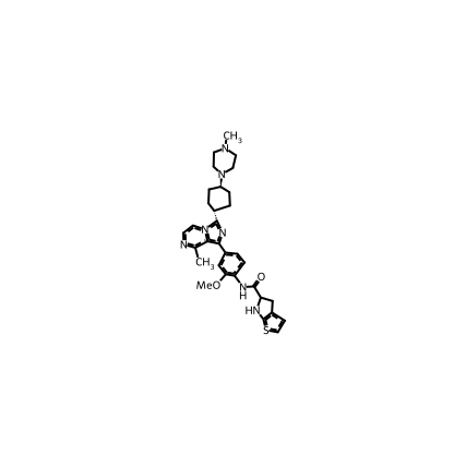 COc1cc(-c2nc([C@H]3CC[C@H](N4CCN(C)CC4)CC3)n3ccnc(C)c23)ccc1NC(=O)C1Cc2ccsc2N1